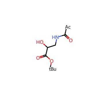 CC(=O)C(=O)NCC(O)C(=O)OC(C)(C)C